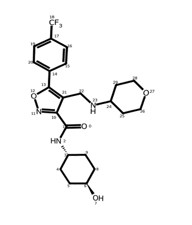 O=C(N[C@H]1CC[C@H](O)CC1)c1noc(-c2ccc(C(F)(F)F)cc2)c1CNC1CCOCC1